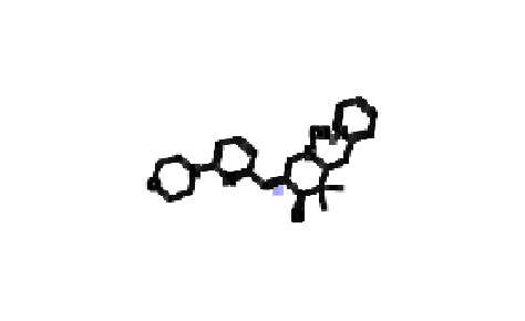 CC1(C)C(=O)/C(=C/c2cccc(N3CCOCC3)n2)CN(C(=O)O)C1Cc1ccccc1